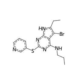 CCCNc1nc(Sc2cccnc2)nc2[nH]c(CC)c(Br)c12